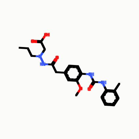 CCCN(CC(=O)O)NC(=O)Cc1ccc(NC(=O)Nc2ccccc2C)c(OC)c1